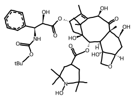 CC1=C2[C@@H](O)C(=O)[C@@]3(C)[C@H]([C@H](OC(=O)C4CC(C)(C)N(O)C(C)(C)C4)[C@](O)(C[C@@H]1OC(=O)[C@H](O)[C@@H](NC(=O)OC(C)(C)C)c1ccccc1)C2(C)C)[C@]1(O)CO[C@@H]1C[C@@H]3O